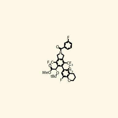 COC(=O)[C@@H](OC(C)(C)C)c1c(-c2cc(F)c3c(c2C)CCCO3)c(C(F)(F)F)c2c(c1C(F)(F)F)CN(C(=O)c1cccc(F)c1)C2